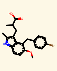 COc1ccc2[nH]c(C)c(CC(C)C(=O)O)c2c1Cc1ccc(Br)cc1